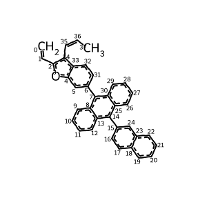 C=Cc1oc2cc(-c3c4ccccc4c(-c4ccc5ccccc5c4)c4ccccc34)ccc2c1/C=C\C